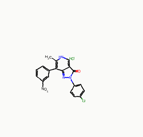 Cc1[nH]cc2c(=O)n(-c3ccc(Cl)cc3)nc-2c1-c1cccc([N+](=O)[O-])c1.Cl